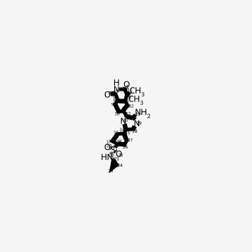 CC1(C)C(=O)NC(=O)c2ccc(-c3nc(-c4ccc(S(=O)(=O)NC5CC5)cc4)cnc3N)cc21